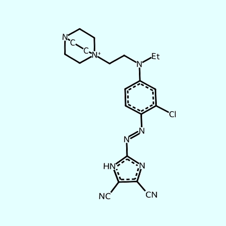 CCN(CC[N+]12CCN(CC1)CC2)c1ccc(N=Nc2nc(C#N)c(C#N)[nH]2)c(Cl)c1